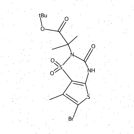 Cc1c(Br)sc2c1S(=O)(=O)N(C(C)(C)C(=O)OC(C)(C)C)C(=O)N2